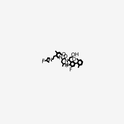 Cc1cc(=O)n(C(CC(C)C)C(=O)NC(CC(=O)O)c2cc(-c3c(C)cccc3C)cc(F)c2F)cc1CCN1CC(F)C1